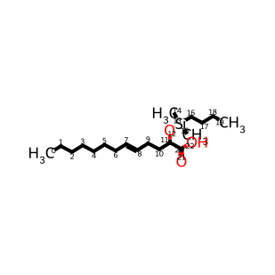 CCCCCCCC=CCCC(O[Si](C)(C)CCCC)C(=O)O